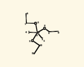 CC[O][Zr]([I])([I])([O]CC)[O]CC